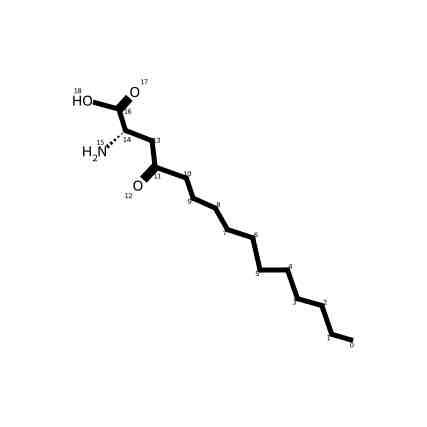 CCCCCCCCCCCC(=O)C[C@H](N)C(=O)O